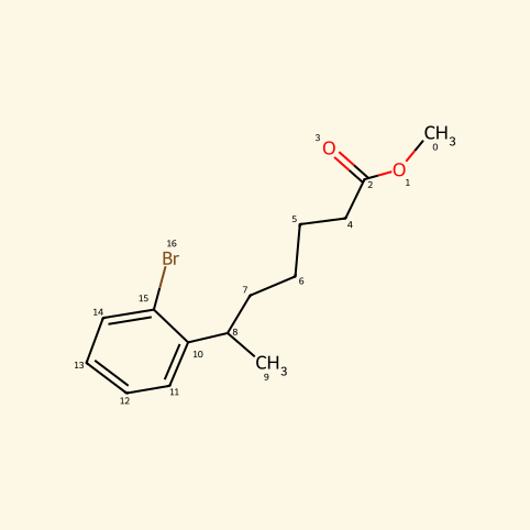 COC(=O)CCCCC(C)c1ccccc1Br